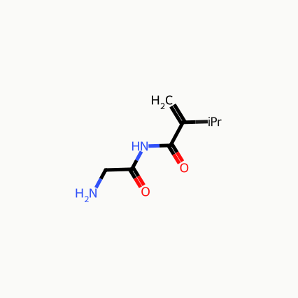 C=C(C(=O)NC(=O)CN)C(C)C